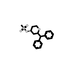 CS(=O)(=O)O[C@H]1CCOC(C(c2ccccc2)c2ccccc2)C1